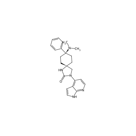 CN(C)[C@]1(c2ccccc2)CC[C@@]2(CC1)CN(c1ccnc3[nH]ccc13)C(=O)N2